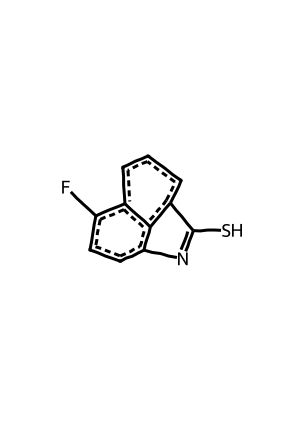 Fc1ccc2c3c(cccc13)C(S)=N2